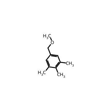 COCc1cc(C)c(C)c(C)c1